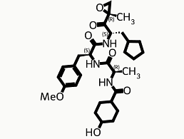 COc1ccc(C[C@H](NC(=O)[C@@H](C)NC(=O)C2CCC(O)CC2)C(=O)N[C@@H](CC2CCCC2)C(=O)[C@@]2(C)CO2)cc1